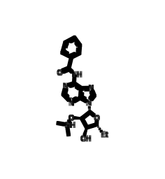 CC[C@H]1O[C@@H](n2cnc3c(NC(=O)c4ccccc4)ncnc32)[C@H](O[SiH](C)C)[C@@H]1O